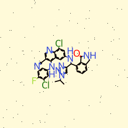 CC(C)n1cc(C(Nc2cc(Cl)c3ncc(C#N)c(Nc4ccc(F)c(Cl)c4)c3c2)c2cccc3c2C(=O)NC3)nn1